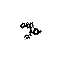 Fc1ccc(-c2nn(C3CCOC[C@@H]3F)cc2-c2ncnc3oc(-c4ccccc4)cc23)cc1